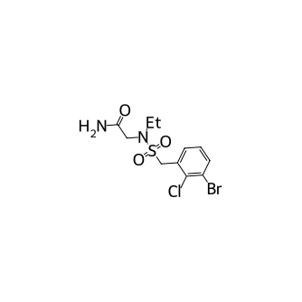 CCN(CC(N)=O)S(=O)(=O)Cc1cccc(Br)c1Cl